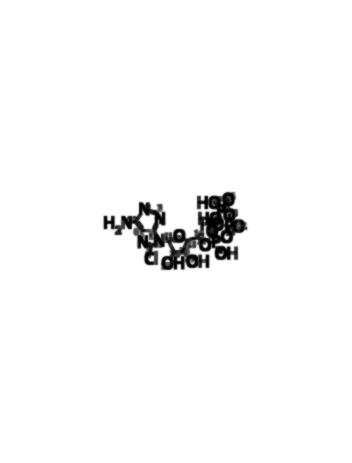 Nc1ncnc2c1nc(Cl)n2C1OC(COP(=O)(O)OP(=O)(O)OP(=O)(O)O)C(O)C1O